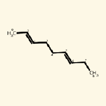 CC=CCCC=CCC